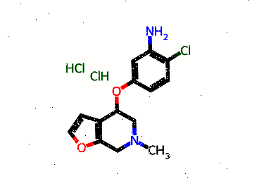 CN1Cc2occc2C(Oc2ccc(Cl)c(N)c2)C1.Cl.Cl